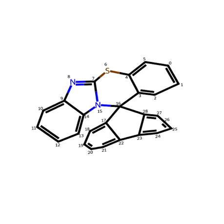 c1ccc2c(c1)Sc1nc3ccccc3n1C21c2ccccc2-c2ccccc21